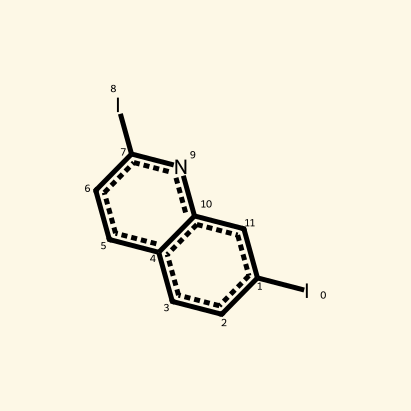 Ic1ccc2ccc(I)nc2c1